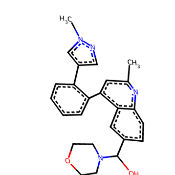 Cc1cc(-c2ccccc2-c2cnn(C)c2)c2cc(C(O)N3CCOCC3)ccc2n1